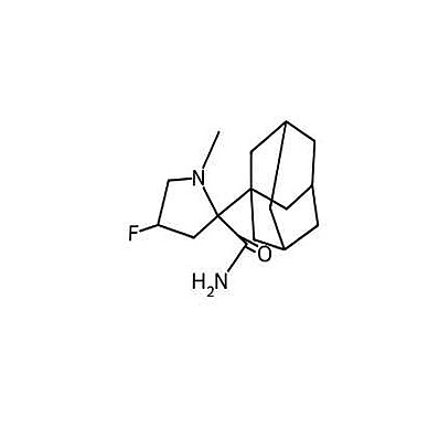 CN1CC(F)CC1(C(N)=O)C12CC3CC(CC(C3)C1)C2